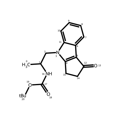 CC(Cn1c2c(c3ccccc31)C(=O)CC2)NC(=O)OC(C)(C)C